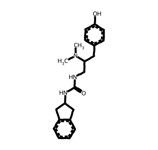 CN(C)C(CNC(=O)NC1Cc2ccccc2C1)Cc1ccc(O)cc1